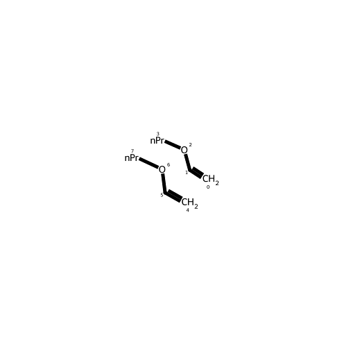 C=COCCC.C=COCCC